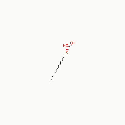 CCCCCCCCCCCCCCCCSOCC(O)CO